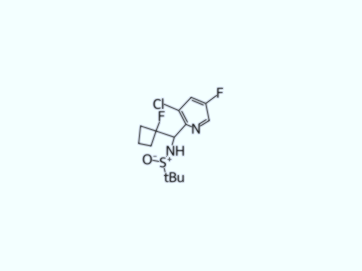 CC(C)(C)[S+]([O-])NC(c1ncc(F)cc1Cl)C1(F)CCC1